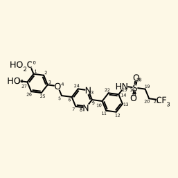 O=C(O)c1cc(OCc2cnc(-c3cccc(NS(=O)(=O)CCC(F)(F)F)c3)nc2)ccc1O